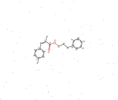 CC(=Cc1ccc(C)cc1)C(=O)OCCCc1ccccc1